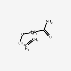 C=C.COC.NC(N)=O